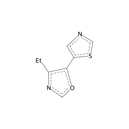 CCc1ncoc1-c1cncs1